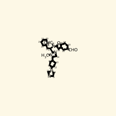 Cn1c(-c2ccc(-n3ccnc3)cc2)cnc1C(Cc1ccccn1)N(C=O)c1cc2cc(C=O)ccc2o1